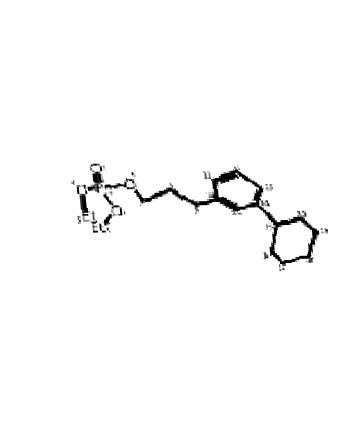 CCOP(=O)(OCC)OCCCc1cccc(C2CCCCC2)c1